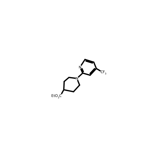 CCOC(=O)C1CCN(c2cc(C(F)(F)F)ccn2)CC1